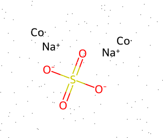 O=S(=O)([O-])[O-].[Co].[Co].[Na+].[Na+]